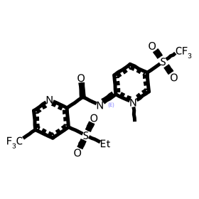 CCS(=O)(=O)c1cc(C(F)(F)F)cnc1C(=O)/N=c1\ccc(S(=O)(=O)C(F)(F)F)cn1C